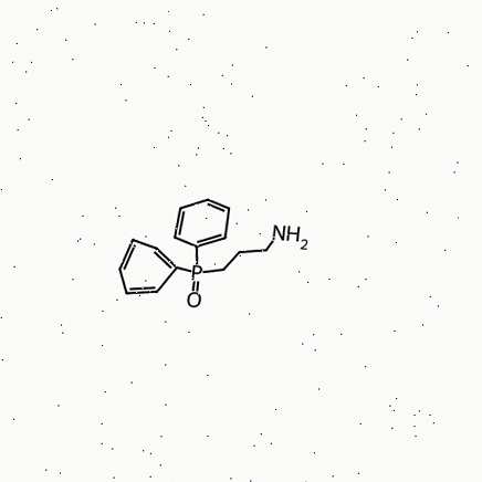 NCCCP(=O)(c1ccccc1)c1ccccc1